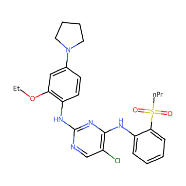 CCCS(=O)(=O)c1ccccc1Nc1nc(Nc2ccc(N3CCCC3)cc2OCC)ncc1Cl